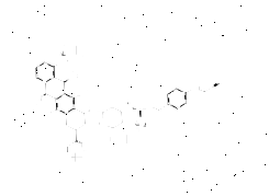 C#CCOc1ccc(COC(=O)N[C@H]2C[C@H](O[C@H]3CC(C(=O)CO)Cc4c(O)c5c(c(O)c43)C(=O)c3c(OC)cccc3C5=O)O[C@@H](C)[C@H]2O)cc1